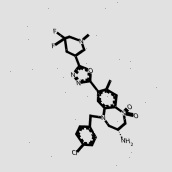 Cc1cc2c(cc1-c1nnc(C3CN(C)CC(F)(F)C3)o1)N(Cc1ccc(Cl)cc1)C[C@@H](N)CS2(=O)=O